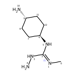 C/N=C(/NN)N[C@H]1CC[C@H](N)CC1